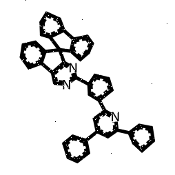 c1ccc(-c2cc(-c3ccccc3)nc(-c3cccc(-c4ncc5c(n4)C4(c6ccccc6-c6ccccc64)c4ccccc4-5)c3)c2)cc1